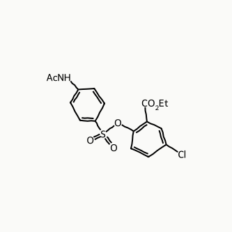 CCOC(=O)c1cc(Cl)ccc1OS(=O)(=O)c1ccc(NC(C)=O)cc1